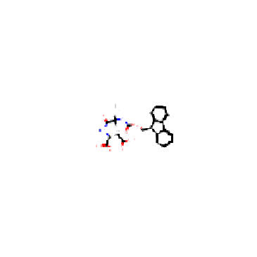 CN(C(=O)C(C)(C)NC(=O)OCC1c2ccccc2-c2ccccc21)[C@@H](CC(=O)O)C(=O)O